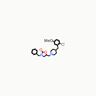 COc1ccc(Cl)c(CC2CCN(CC3CN(Cc4ccccc4)C(=O)O3)CC2)c1